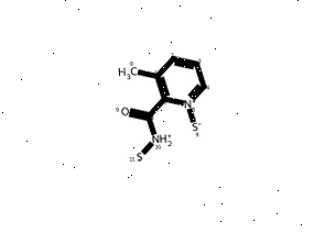 Cc1ccc[n+]([S-])c1C(=O)[NH2+][S-]